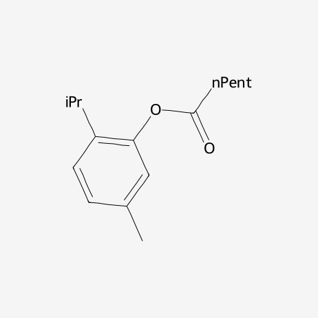 CCCCCC(=O)Oc1cc(C)ccc1C(C)C